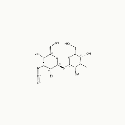 CC1C(O)[C@H](S[C@@H]2O[C@H](CO)C(O)C(N=[N+]=[N-])[C@H]2O)OC(CO)[C@@H]1O